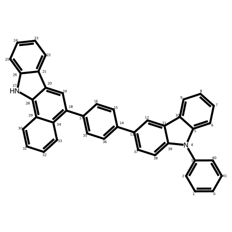 c1ccc(-n2c3ccccc3c3cc(-c4ccc(-c5cc6c7ccccc7[nH]c6c6ccccc56)cc4)ccc32)cc1